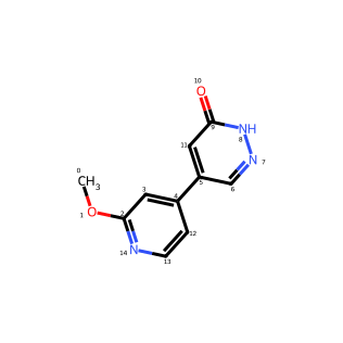 COc1cc(-c2cn[nH]c(=O)c2)ccn1